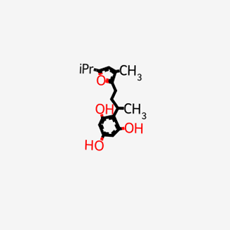 Cc1cc(C(C)C)oc1CCC(C)c1c(O)cc(O)cc1O